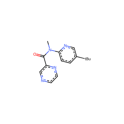 CN(C(=O)c1cnccn1)c1ccc(C(C)(C)C)cn1